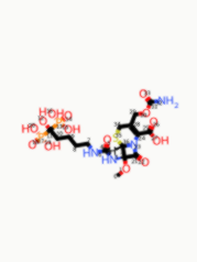 CO[C@@]1(NC(=O)NCCCCC(O)(P(=O)(O)O)P(=O)(O)O)C(=O)N2C(C(=O)O)=C(COC(N)=O)CS[C@H]21